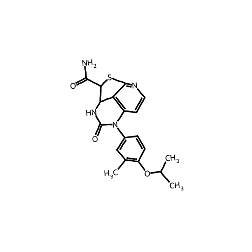 Cc1cc(N2C(=O)NC3c4c2ccnc4SC3C(N)=O)ccc1OC(C)C